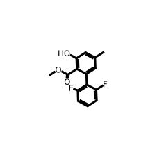 COC(=O)c1c(O)cc(C)cc1-c1c(F)cccc1F